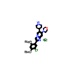 COc1cc(OC)c(-c2cn3cc(C4=CCNCC4)c(N4CCOCC4)cc3n2)cc1Cl.Cl.Cl